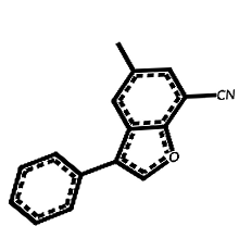 Cc1cc(C#N)c2occ(-c3ccccc3)c2c1